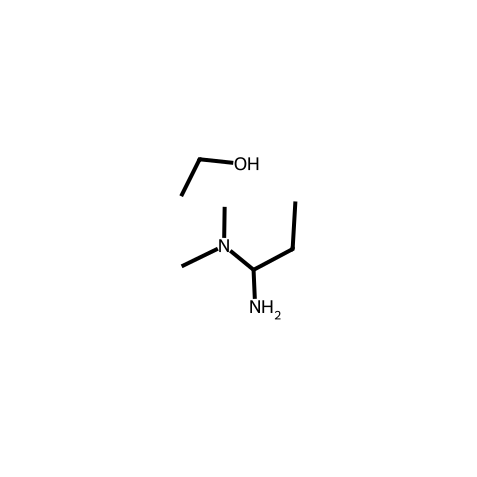 CCC(N)N(C)C.CCO